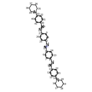 c1cc(/N=N/c2ccc(N=Nc3ccc(N4CCCCC4)cc3)cc2)ccc1N=Nc1ccc(N2CCCCC2)cc1